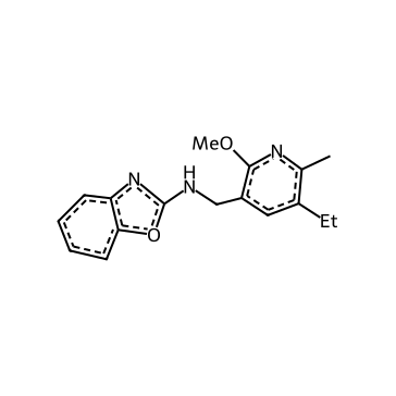 CCc1cc(CNc2nc3ccccc3o2)c(OC)nc1C